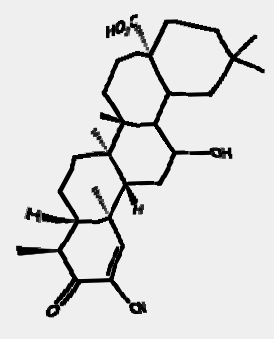 C[C@@H]1C(=O)C(C#N)=C[C@]2(C)[C@H]3CC(O)C4C5CC(C)(C)CC[C@]5(C(=O)O)CC[C@@]4(C)[C@]3(C)CC[C@@H]12